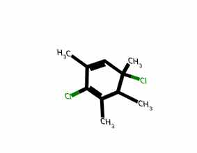 CC1=CC(C)(Cl)C(C)C(C)=C1Cl